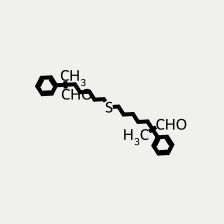 CC(C=O)(CCCCCSCCCCCC(C)(C=O)c1ccccc1)c1ccccc1